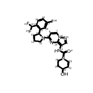 O=C(Nc1cnn2ccc(N3CCCC3c3cc(F)ccc3C(F)F)nc12)N1CCC(O)CC1